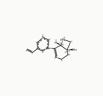 C=Cc1cncc(C2=CCC[C@H]3CN[C@@H]23)c1